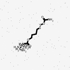 NC(=O)O.NC(=O)O.NC(=O)O.NC(=O)OCCCCSSOC(N)=O